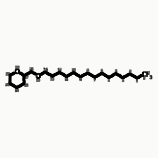 FC(F)(F)CCCCCCCCCCCCCCOCC1CCCCO1